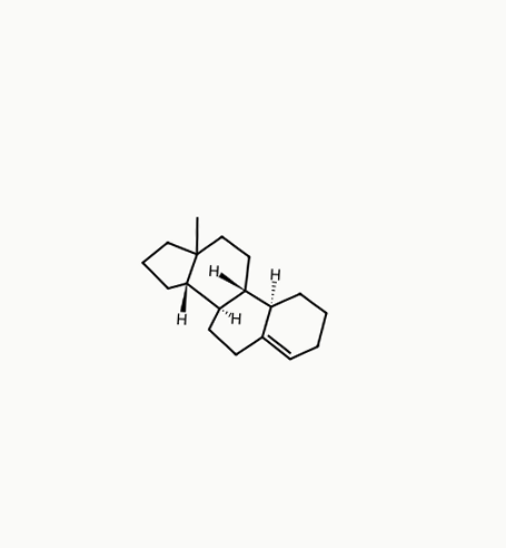 CC12CCC[C@H]1[C@@H]1CCC3=CCCC[C@@H]3[C@H]1CC2